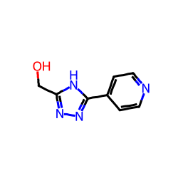 OCc1nnc(-c2ccncc2)[nH]1